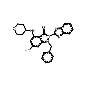 O=c1c2c(NC3CCOCC3)cc(O)cc2n(Cc2ccccc2)n1-c1nc2ccccc2s1